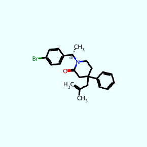 C=C(C)CC1(c2ccccc2)CCN([C@@H](C)c2ccc(Br)cc2)C(=O)C1